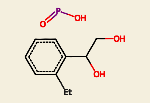 CCc1ccccc1C(O)CO.O=PO